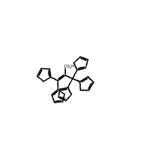 O=C(O)C(=C(C1=CC=CC1)C1=CC=CC1)C(C1=CC=CC1)(C1=CC=CC1)C1=CC=CC1